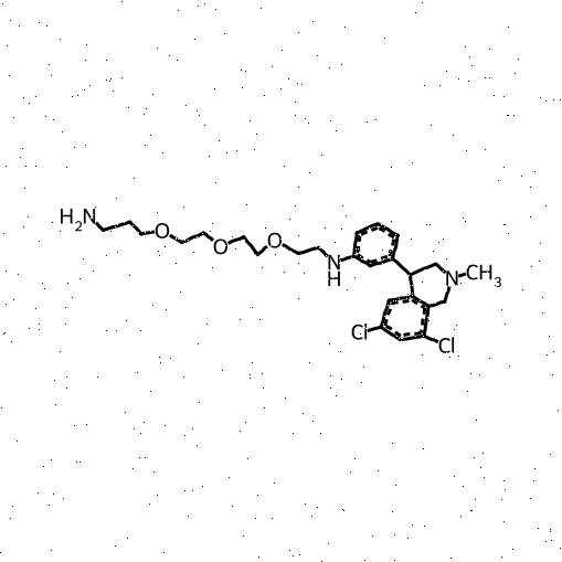 CN1Cc2c(Cl)cc(Cl)cc2C(c2cccc(NCCOCCOCCOCCCN)c2)C1